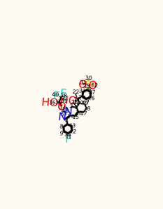 C[C@]12Cn3cnc(-c4ccc(F)cc4)c3C=C1CCC[C@@H]2[C@](C)(O)c1cccc(S(C)(=O)=O)c1.O=C(O)C(F)(F)F